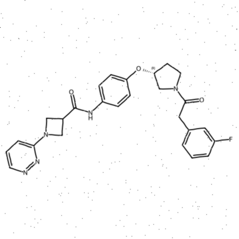 O=C(Nc1ccc(O[C@@H]2CCN(C(=O)Cc3cccc(F)c3)C2)cc1)C1CN(c2cccnn2)C1